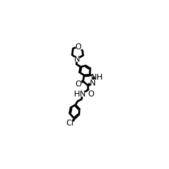 O=C(NCCc1ccc(Cl)cc1)c1n[nH]c2ccc(CN3CCOCC3)cc2c1=O